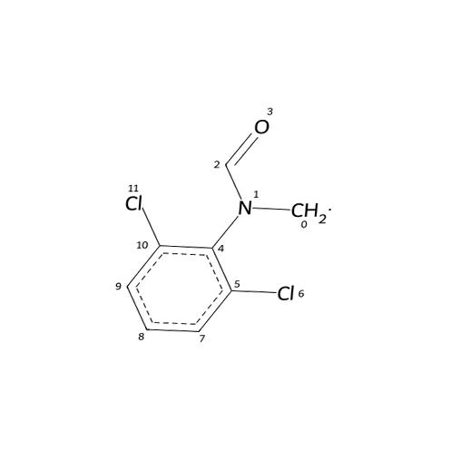 [CH2]N(C=O)c1c(Cl)cccc1Cl